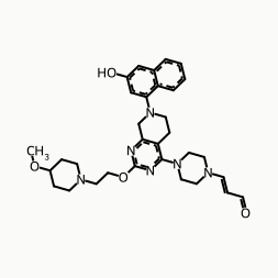 COC1CCN(CCOc2nc3c(c(N4CCN(C=CC=O)CC4)n2)CCN(c2cc(O)cc4ccccc24)C3)CC1